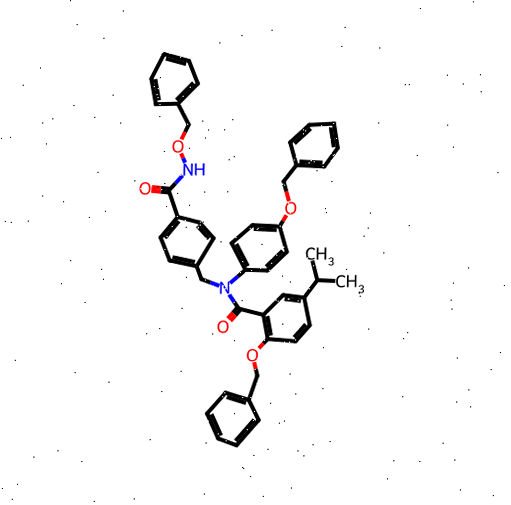 CC(C)c1ccc(OCc2ccccc2)c(C(=O)N(Cc2ccc(C(=O)NOCc3ccccc3)cc2)c2ccc(OCc3ccccc3)cc2)c1